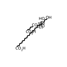 CCCCC(CC)(CCCCCCCCCCCCCCCCCC(=O)O)C(=O)OCC(O)CO.O=C(O)CCCCC(=O)O